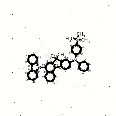 CC1(C)c2cc(N(c3ccccc3)c3ccc([Si](C)(C)C)cc3)ccc2-c2c1cc(-n1c3ccccc3c3ccccc31)c1ccccc21